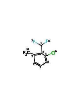 FC(F)c1c(Cl)cccc1C(F)(F)F